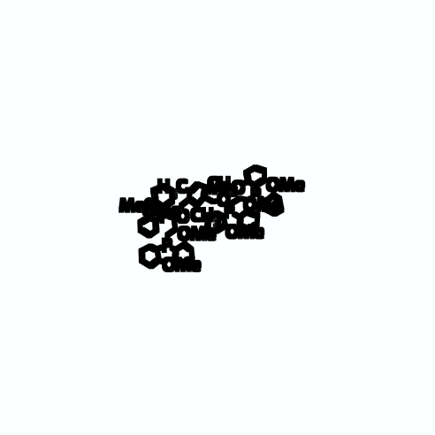 COc1ccccc1P(CCC(OCc1c(C)cc(C)c(COC(CCP(c2ccccc2OC)c2ccccc2OC)P(c2ccccc2OC)c2ccccc2OC)c1C)P(c1ccccc1OC)c1ccccc1OC)c1ccccc1OC